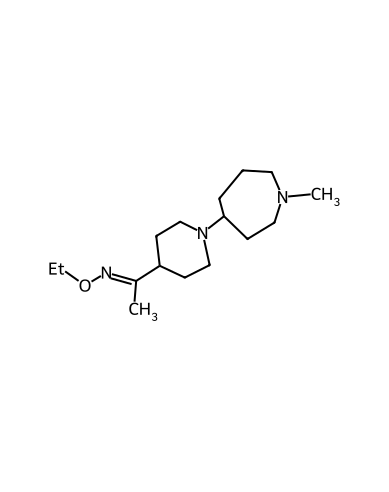 CCO/N=C(\C)C1CCN(C2CCCN(C)CC2)CC1